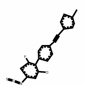 Cc1ccc(C#Cc2ccc(-c3c(F)cc(N=C=S)cc3Cl)cc2)cc1